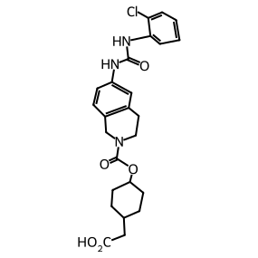 O=C(O)CC1CCC(OC(=O)N2CCc3cc(NC(=O)Nc4ccccc4Cl)ccc3C2)CC1